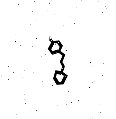 Ic1ccc(CCCc2ccccc2)cc1